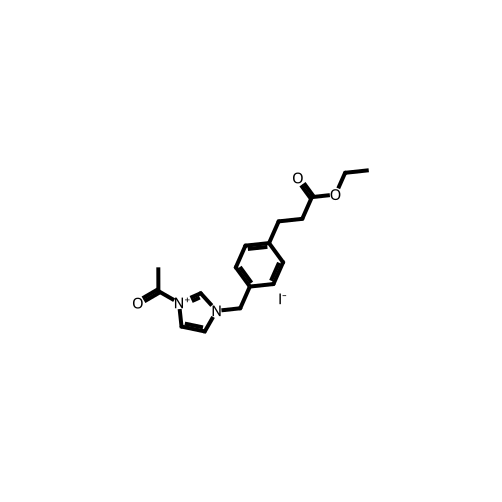 CCOC(=O)CCc1ccc(Cn2cc[n+](C(C)=O)c2)cc1.[I-]